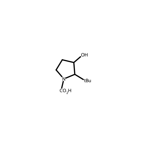 CC(C)(C)C1C(O)CCN1C(=O)O